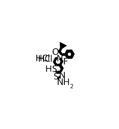 Cl.Cl.Nc1nc(/C=C2/CN(C(C(=O)C3CC3)c3ccccc3F)CCC2S)cs1